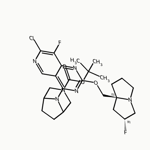 CC(C)(C)OC(=O)N1CC2CCC(C1)N2c1nc(OC[C@@]23CCCN2C[C@H](F)C3)nc2c(F)c(Cl)ncc12